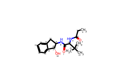 CCC(=O)NC(C(=O)NC1Cc2ccccc2[C@H]1O)C(C)(C)C